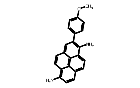 COc1ccc(-c2cc3ccc4c(N)ccc5ccc(c2N)c3c54)cc1